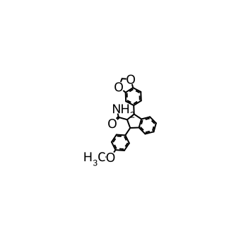 COc1ccc(C2c3ccccc3C(c3ccc4c(c3)OCO4)C2C(N)=O)cc1